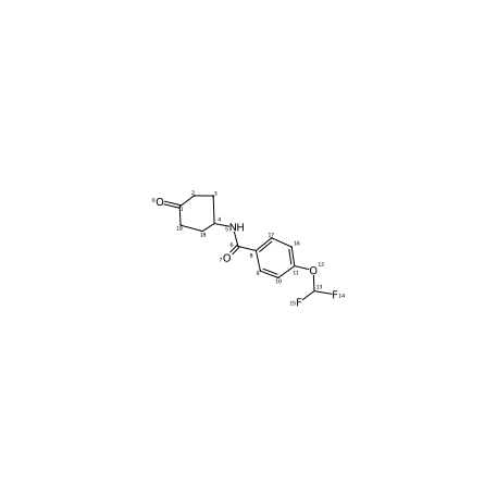 O=C1CCC(NC(=O)c2ccc(OC(F)F)cc2)CC1